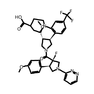 COC[C@H]1CN(C(=O)[C@]2(F)CN(c3cccnn3)C[C@H]2c2ccc(OC)cc2)C[C@@H]1c1ccc(C(F)(F)F)cc1N1CCC(C(=O)O)CC1